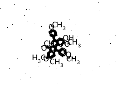 COc1ccc(-c2cc3c(C(C)=O)c4cc(OC)c(C)cc4c(-c4ccc(OC)cc4)c3c3cc(OC)c(O)cc23)cc1